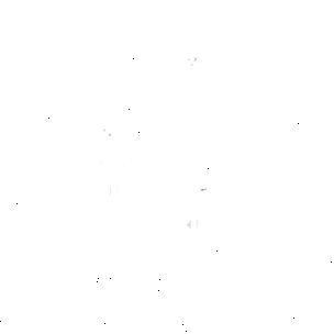 COc1ccc(-c2nccc(C)c2O[C@H]2SC[C@@H](O)[C@H](O)[C@H]2O)cc1